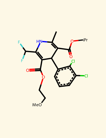 COCCOC(=O)C1=C(C(F)F)NC(C)=C(C(=O)OC(C)C)C1c1cccc(Cl)c1Cl